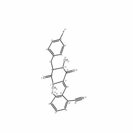 CN1C(=O)C(Cc2ccc(F)cc2)N(C)C(=O)C1=Cc1c(F)cccc1C#N